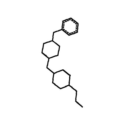 CCCC1CCC(CC2CCC(Cc3ccccc3)CC2)CC1